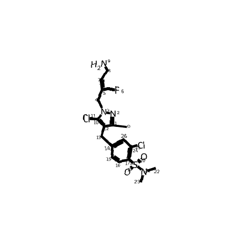 Cc1nn(C/C(F)=C/CN)c(Cl)c1Cc1ccc(S(=O)(=O)N(C)C)c(Cl)c1